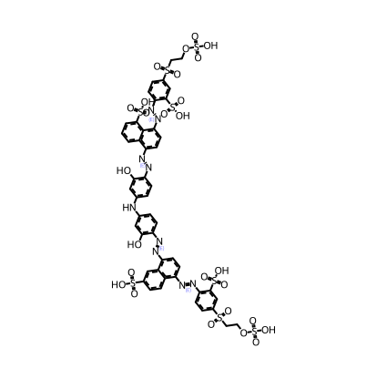 O=S(=O)(O)OCCS(=O)(=O)c1ccc(/N=N/c2ccc(/N=N/c3ccc(Nc4ccc(/N=N/c5ccc(/N=N/c6ccc(S(=O)(=O)CCOS(=O)(=O)O)cc6S(=O)(=O)O)c6c(S(=O)(=O)O)cccc56)c(O)c4)cc3O)c3cc(S(=O)(=O)O)ccc23)c(S(=O)(=O)O)c1